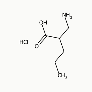 CCCC(CN)C(=O)O.Cl